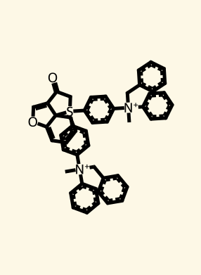 C[N+](Cc1ccccc1)(c1ccccc1)c1ccc(S2(c3ccc([N+](C)(Cc4ccccc4)c4ccccc4)cc3)CC(=O)C3=COC4=CC=CCC432)cc1